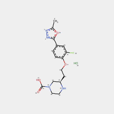 Cc1nnc(-c2ccc(OCC[C@@H]3CN(C(=O)O)CCN3)c(F)c2)o1.Cl